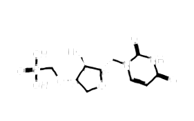 O=c1ccn(C[C@@H]2OC[C@H](OCP(=O)(O)O)[C@H]2O)c(=O)[nH]1